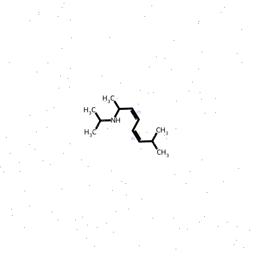 CC(C)/C=C\C=C/C(C)NC(C)C